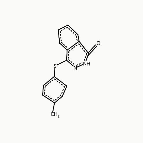 Cc1ccc(Sc2n[nH]c(=O)c3ccccc23)cc1